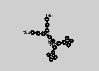 CC(C)(C)c1ccc(-c2ccc(-c3ccc4c(c3)c3cc(-c5ccc(-c6ccc(C(C)(C)C)cc6)cc5)ccc3n4-c3ccc(-c4ccc(N(c5ccc(-c6ccc([Si](c7ccccc7)(c7ccccc7)c7ccccc7)cc6)cc5)c5ccc(-c6ccc([Si](c7ccccc7)(c7ccccc7)c7ccccc7)cc6)cc5)c5nsnc45)cc3)cc2)cc1